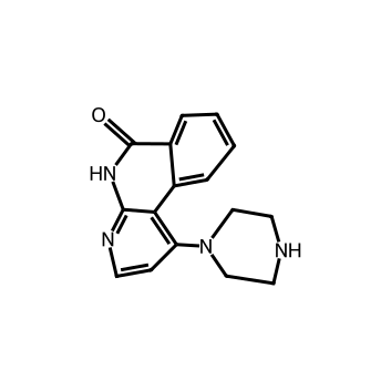 O=c1[nH]c2nccc(N3CCNCC3)c2c2ccccc12